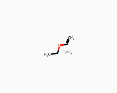 C=COCC.[SnH4]